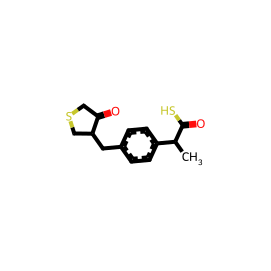 CC(C(=O)S)c1ccc(CC2CSCC2=O)cc1